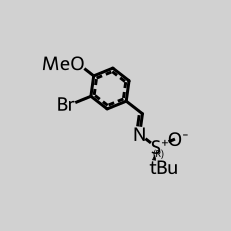 COc1ccc(C=N[S@@+]([O-])C(C)(C)C)cc1Br